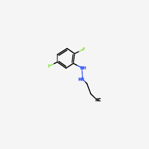 [C-]#[N+]CCNNc1cc(F)ccc1F